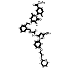 COC(=O)c1ccc(C)c(-n2c(C)cc(OCc3ccccc3CNC(=O)Nc3cc(C(C)(C)C)nn3-c3cccc(OCCOC4CCCCO4)c3)c(Cl)c2=O)c1